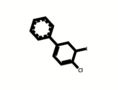 ClC1=CC=C(c2ccccc2)C[C]1I